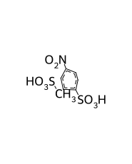 CS(=O)(=O)O.O=[N+]([O-])c1ccc(S(=O)(=O)O)cc1